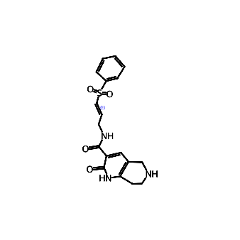 O=C(NC/C=C/S(=O)(=O)c1ccccc1)c1cc2c([nH]c1=O)CCNC2